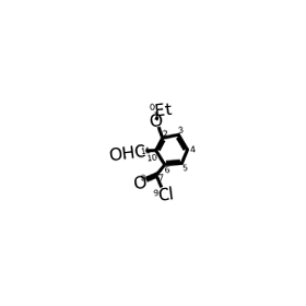 CCOc1cccc(C(=O)Cl)c1C=O